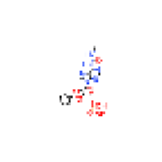 CCNC(=O)Nc1ncnc2c1ncn2[C@@H]1O[C@H](COP(=O)(O)O)C2O[C@@H](c3ccccc3)OC21